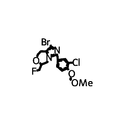 COCOc1ccc(-c2nc(Br)c3n2CC(CF)OCC3)cc1Cl